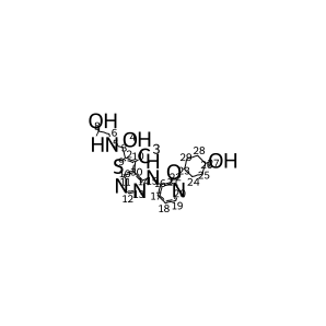 Cc1c(C(=O)NCCO)sc2ncnc(Nc3cccnc3O[C@H]3CC[C@H](O)CC3)c12